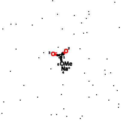 CO[Si](=O)[O-].[Na+]